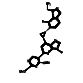 COc1ncc(-c2cc([C@H]3C[C@@H]3c3ccc4cnn(CC(F)(F)F)c4c3F)c3ncc(F)n3n2)c(OC)n1